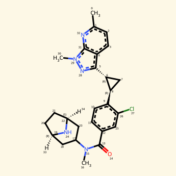 Cc1ccc2c([C@@H]3C[C@H]3c3ccc(C(=O)N(C)C4C[C@H]5CC[C@@H](C4)N5)cc3Cl)nn(C)c2n1